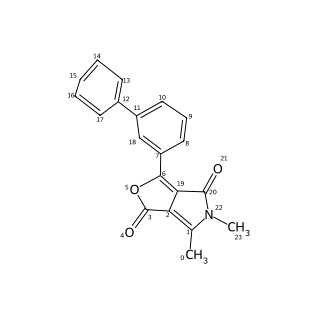 CC1=C2C(=O)OC(c3cccc(-c4ccccc4)c3)=C2C(=O)N1C